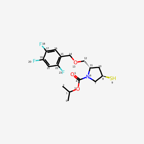 CC(C)OC(=O)N1C[C@H](S)C[C@H]1COCc1cc(F)c(F)cc1F